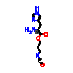 N[C@@H](Cc1c[nH]cn1)C(=O)OCCCN=C=O